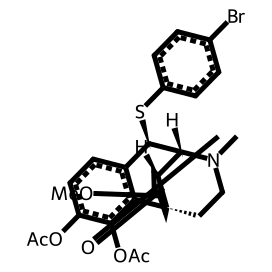 COC1=C[C@@H]2[C@@H]3[C@H](Sc4ccc(Br)cc4)c4ccc(OC(C)=O)c(OC(C)=O)c4[C@]2(CCN3C)CC1=O